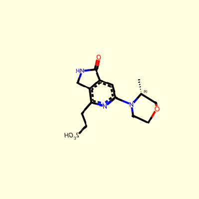 C[C@@H]1COCCN1c1cc2c(c(CCS(=O)(=O)O)n1)CNC2=O